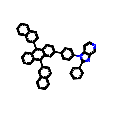 c1ccc(-c2nc3cnccc3n2-c2ccc(-c3ccc4c(-c5ccc6ccccc6c5)c5ccccc5c(-c5ccc6ccccc6c5)c4c3)cc2)cc1